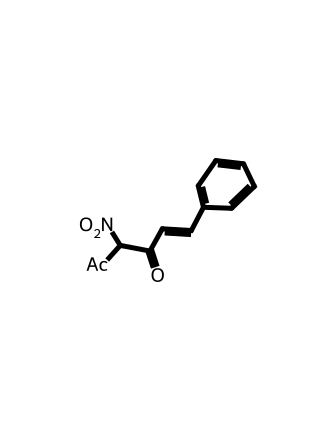 CC(=O)C(C(=O)C=Cc1ccccc1)[N+](=O)[O-]